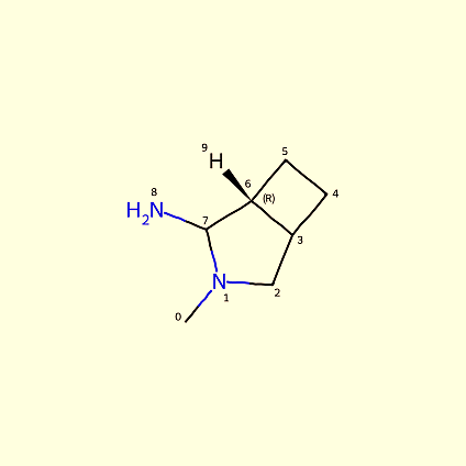 CN1CC2CC[C@H]2C1N